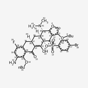 CCCCOc1noc2c1C(=O)[C@@]1(OS(=O)(=O)c3ccc(Br)cc3)C(O)=C3C(=O)c4c(c(F)cc(N)c4OCCCC)C[C@H]3C[C@H]1[C@@H]2N(C)C